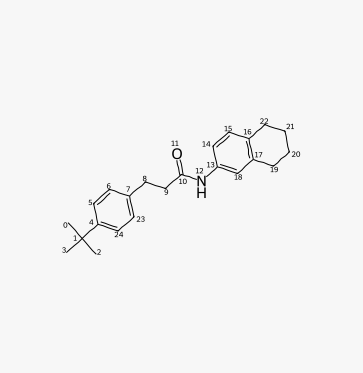 CC(C)(C)c1ccc(CCC(=O)Nc2ccc3c(c2)CCCC3)cc1